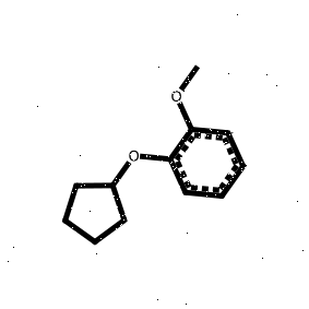 COc1[c]cccc1OC1CCCC1